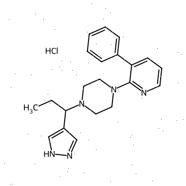 CCC(c1cn[nH]c1)N1CCN(c2ncccc2-c2ccccc2)CC1.Cl